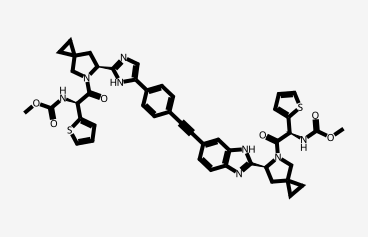 COC(=O)N[C@@H](C(=O)N1CC2(CC2)C[C@H]1c1ncc(-c2ccc(C#Cc3ccc4nc([C@@H]5CC6(CC6)CN5C(=O)[C@H](NC(=O)OC)c5cccs5)[nH]c4c3)cc2)[nH]1)c1cccs1